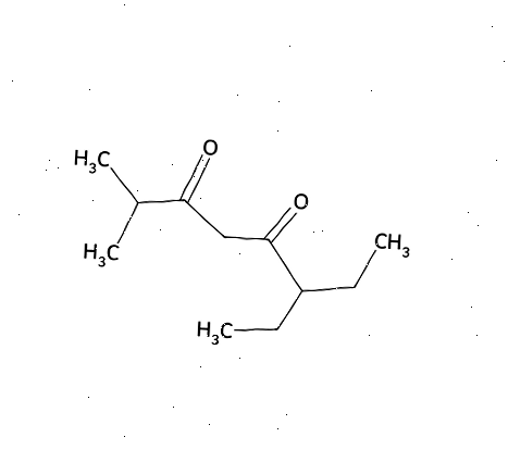 CCC(CC)C(=O)CC(=O)C(C)C